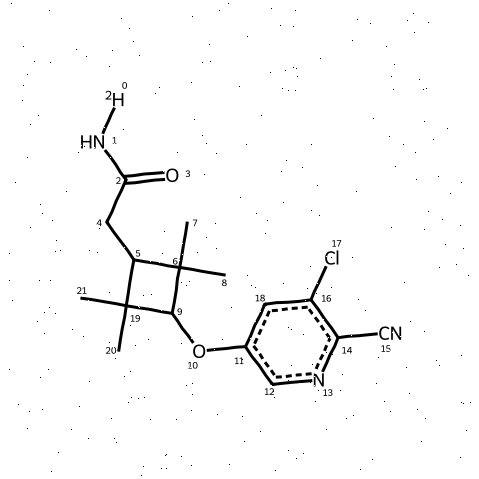 [2H]NC(=O)CC1C(C)(C)C(Oc2cnc(C#N)c(Cl)c2)C1(C)C